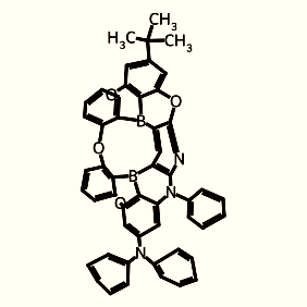 CC(C)(C)c1cc2c3c(c1)Oc1nc4c5cc1B3c1c(cccc1Oc1cccc3c1B5c1c(cc(N(c5ccccc5)c5ccccc5)cc1N4c1ccccc1)O3)O2